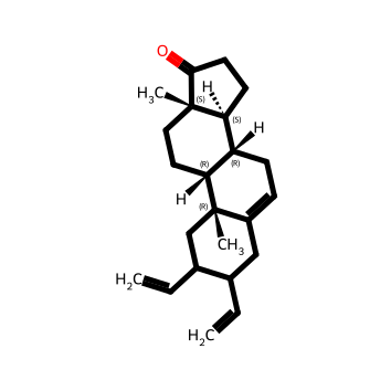 C=CC1CC2=CC[C@@H]3[C@@H](CC[C@]4(C)C(=O)CC[C@@H]34)[C@@]2(C)CC1C=C